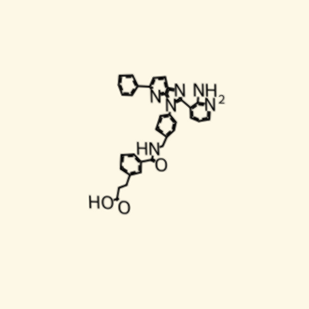 Nc1ncccc1-c1nc2ccc(-c3ccccc3)nc2n1-c1ccc(CNC(=O)c2cccc(CCC(=O)O)c2)cc1